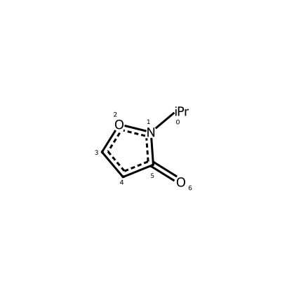 CC(C)n1occc1=O